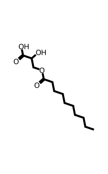 CCCCCCCCCC(=O)OCC(O)C(=O)O